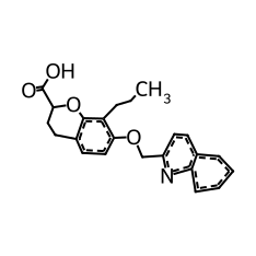 CCCc1c(OCc2ccc3ccccc3n2)ccc2c1OC(C(=O)O)CC2